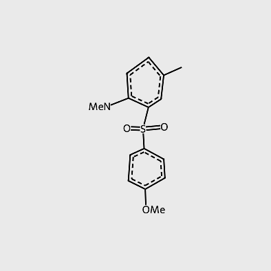 CNc1ccc(C)cc1S(=O)(=O)c1ccc(OC)cc1